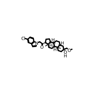 COC[C@@]1(O)CC[C@@]2(C)[C@@H](CC[C@@H]3[C@@H]2CC[C@]2(C)[C@@H](C(=O)Cn4ccc5cc(Cl)ccc54)CC[C@@H]32)C1